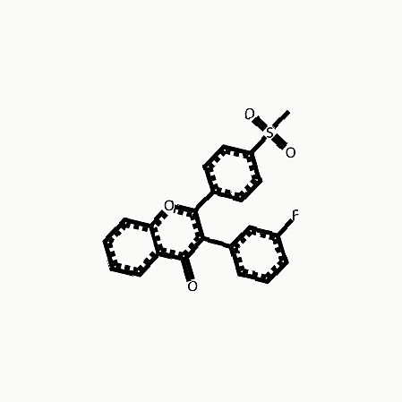 CS(=O)(=O)c1ccc(-c2oc3ccccc3c(=O)c2-c2cccc(F)c2)cc1